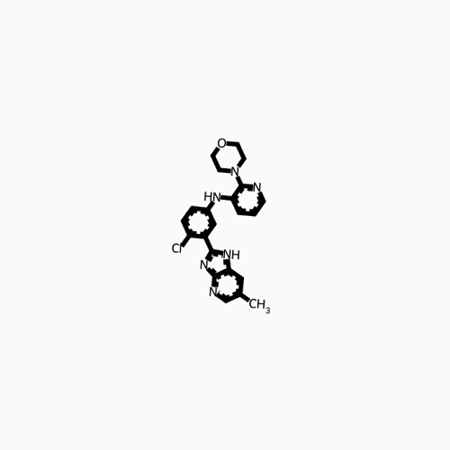 Cc1cnc2nc(-c3cc(Nc4cccnc4N4CCOCC4)ccc3Cl)[nH]c2c1